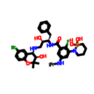 CC(C)Nc1cc(C(=O)N[C@@H](Cc2ccccc2)[C@@H](O)CN[C@H]2c3cc(Br)ccc3OC(C)(C)[C@@H]2O)c(F)c(N2CCCCS2(O)O)c1